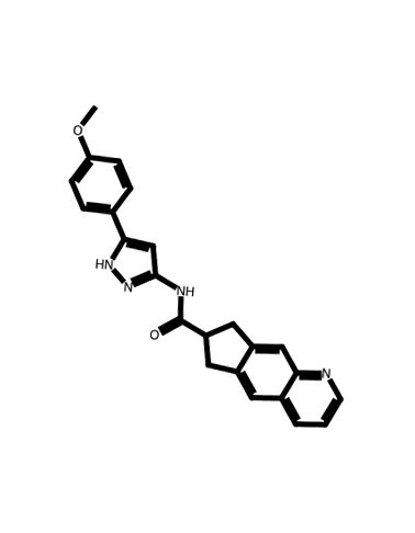 COc1ccc(-c2cc(NC(=O)C3Cc4cc5cccnc5cc4C3)n[nH]2)cc1